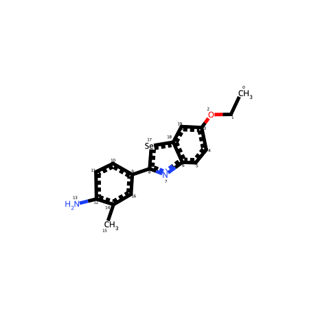 CCOc1ccc2nc(-c3ccc(N)c(C)c3)[se]c2c1